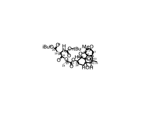 COc1ccc2c3c1O[C@H]1C(OC(=O)[C@H](C)OC(=O)[C@H](CC(=O)OCC(C)C)NC(=O)OC(C)(C)C)=CC[C@@]4(O)[C@@H](C2)N(C)CC[C@]314